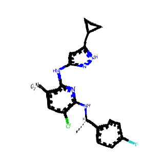 C[C@H](Nc1nc(Nc2cc(C3CC3)[nH]n2)c([N+](=O)[O-])cc1Cl)c1ccc(F)cc1